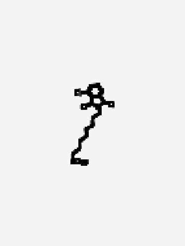 CCCCCCCCCCCCCCCCCCN1C(=O)c2cccc(Cl)c2C1=O